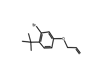 C=CCOc1ccc(C(C)(C)C)c(Br)c1